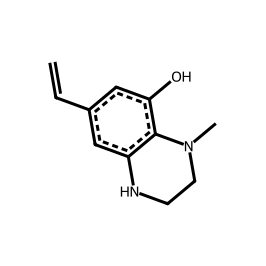 C=Cc1cc(O)c2c(c1)NCCN2C